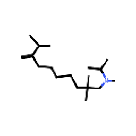 C=C(CCCCCC(C)(C)CN(C)C(C)C)C(C)C